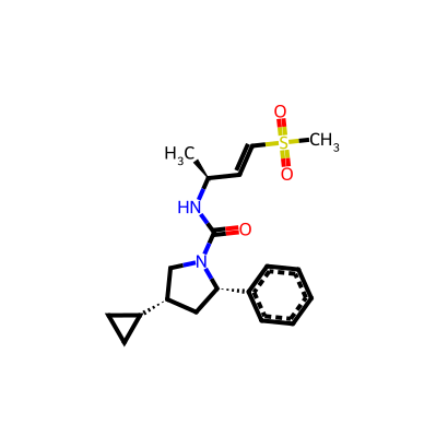 C[C@@H](/C=C/S(C)(=O)=O)NC(=O)N1C[C@@H](C2CC2)C[C@H]1c1ccccc1